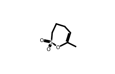 CC1=CCCCS(=O)(=O)O1